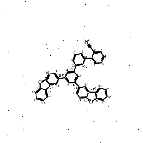 N#Cc1ccccc1-c1cccc(-c2cc(-c3ccc4oc5ccccc5c4c3)cc(-c3ccc4oc5ccccc5c4c3)c2)c1